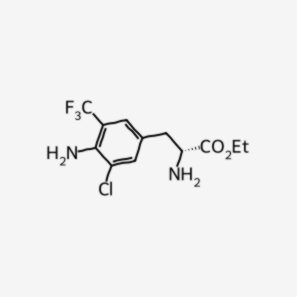 CCOC(=O)[C@H](N)Cc1cc(Cl)c(N)c(C(F)(F)F)c1